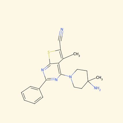 Cc1c(C#N)sc2nc(-c3ccccc3)nc(N3CCC(C)(N)CC3)c12